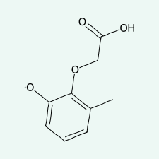 Cc1cccc([O])c1OCC(=O)O